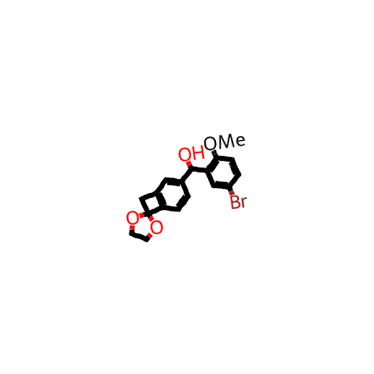 COc1ccc(Br)cc1C(O)c1ccc2c(c1)CC21OCCO1